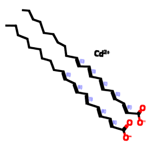 CCCCCCCCC/C=C/C=C/C=C/C=C/C=C/C(=O)[O-].CCCCCCCCC/C=C/C=C/C=C/C=C/C=C/C(=O)[O-].[Cd+2]